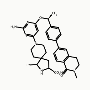 CCC1NC(C(=O)O)CC12CCN(c1cc(O[C@H](c3ccc(-c4ccc5c(c4)CCN(C)C5=O)cc3)C(F)(F)F)nc(N)n1)CC2